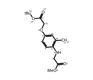 COC(=O)CNc1ccc(OCC(=O)OC(C)(C)C)cc1C